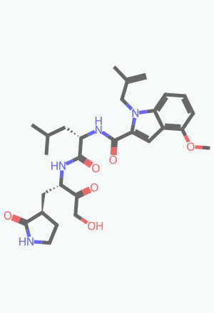 C=C(C)Cn1c(C(=O)N[C@@H](CC(C)C)C(=O)N[C@@H](C[C@H]2CCNC2=O)C(=O)CO)cc2c(OC)cccc21